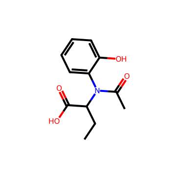 CCC(C(=O)O)N(C(C)=O)c1ccccc1O